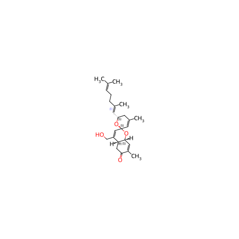 CC(C)=CCC/C(C)=C/[C@@H]1CC(C)=C[C@]2(C=C(CO)[C@H]3CC(=O)C(C)=C[C@H]3O2)O1